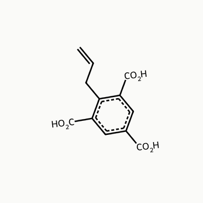 C=CCc1c(C(=O)O)cc(C(=O)O)cc1C(=O)O